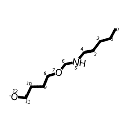 CCCCCNCOCCCC[O]